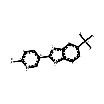 CC(C)(C)c1ccc2nc(-c3ccc(Br)nc3)sc2c1